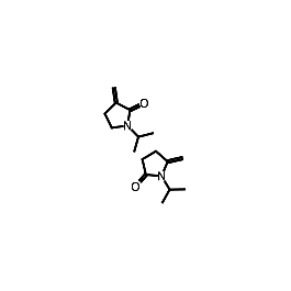 C=C1CCC(=O)N1C(C)C.C=C1CCN(C(C)C)C1=O